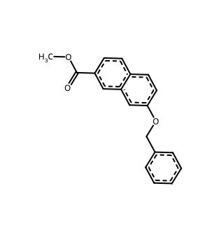 COC(=O)c1ccc2ccc(OCc3ccccc3)cc2c1